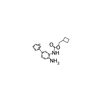 Nc1ccc(-c2cccs2)cc1NC(=O)OCC1CCC1